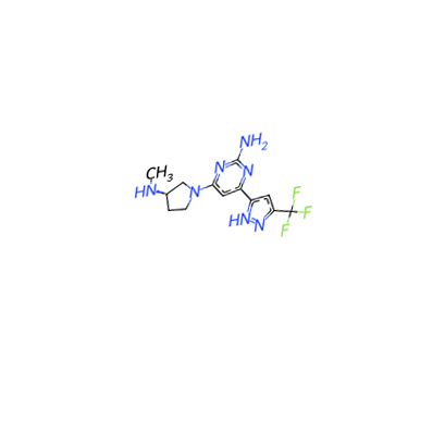 CN[C@@H]1CCN(c2cc(-c3cc(C(F)(F)F)n[nH]3)nc(N)n2)C1